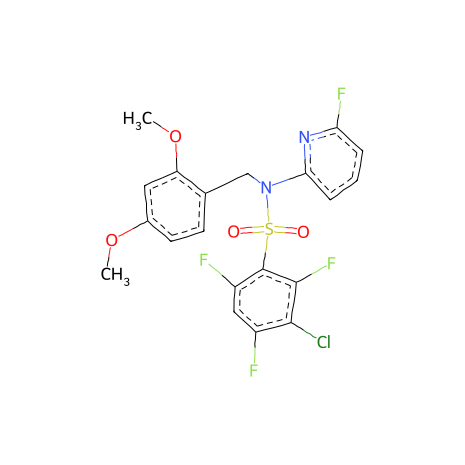 COc1ccc(CN(c2cccc(F)n2)S(=O)(=O)c2c(F)cc(F)c(Cl)c2F)c(OC)c1